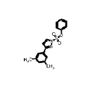 Cc1cc(C)cc(-c2ccn(S(=O)(=O)Oc3ccccc3)n2)c1